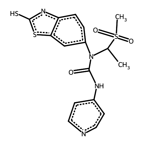 CC(N(C(=O)Nc1ccncc1)c1ccc2nc(S)sc2c1)S(C)(=O)=O